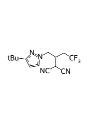 CC(C)(C)c1ccn(CC(CC(F)(F)F)C(C#N)C#N)n1